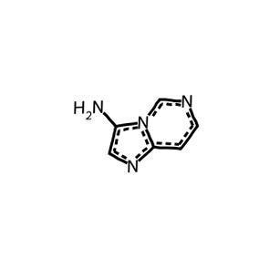 Nc1cnc2ccncn12